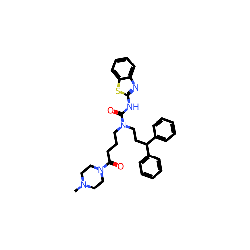 CN1CCN(C(=O)CCCN(CCC(c2ccccc2)c2ccccc2)C(=O)Nc2nc3ccccc3s2)CC1